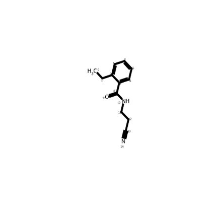 CCc1ccccc1C(=O)NCCC#N